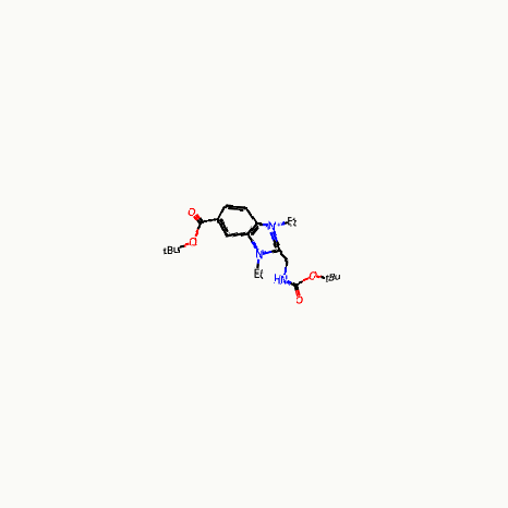 CCn1c(CNC(=O)OC(C)(C)C)[n+](CC)c2ccc(C(=O)OC(C)(C)C)cc21